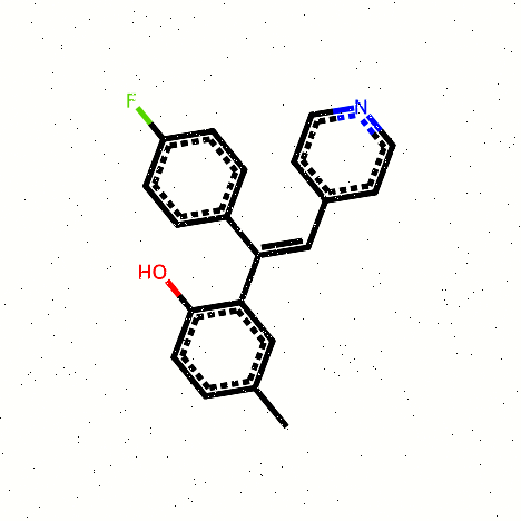 Cc1ccc(O)c(C(=Cc2ccncc2)c2ccc(F)cc2)c1